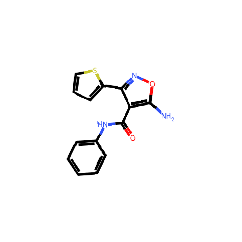 Nc1onc(-c2cccs2)c1C(=O)Nc1ccccc1